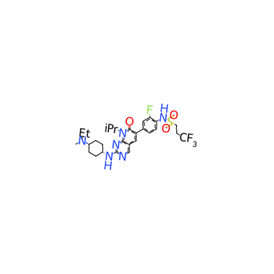 CCN(C)[C@H]1CC[C@H](Nc2ncc3cc(-c4ccc(NS(=O)(=O)CCC(F)(F)F)c(F)c4)c(=O)n(C(C)C)c3n2)CC1